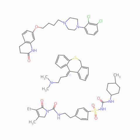 CCC1=C(C)CN(C(=O)NCCc2ccc(S(=O)(=O)NC(=O)NC3CCC(C)CC3)cc2)C1=O.CN(C)CC/C=C1/c2ccccc2CSc2ccccc21.O=C1CCc2ccc(OCCCCN3CCN(c4cccc(Cl)c4Cl)CC3)cc2N1